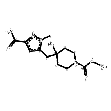 Cn1nc(C(N)=O)cc1CC1(O)CCN(C(=O)OC(C)(C)C)CC1